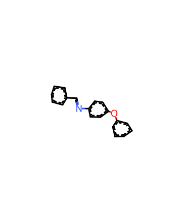 C(=Nc1ccc(Oc2ccccc2)cc1)c1ccccc1